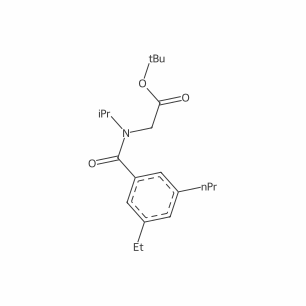 CCCc1cc(CC)cc(C(=O)N(CC(=O)OC(C)(C)C)C(C)C)c1